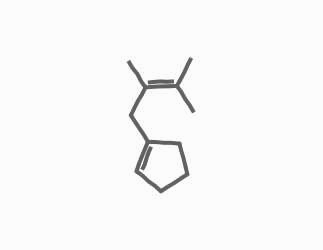 CC(C)=C(C)CC1=CCCC1